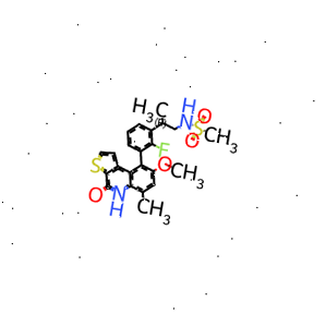 COc1cc(C)c2[nH]c(=O)c3sccc3c2c1-c1cccc([C@@H](C)CNS(C)(=O)=O)c1F